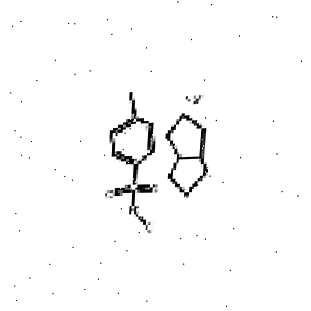 C1CC2CCCC2C1.Cc1ccc(S(=O)(=O)[N-]Cl)cc1.[Na+]